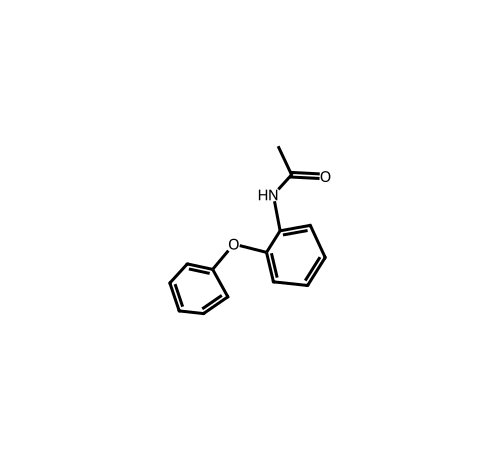 CC(=O)Nc1ccccc1Oc1ccccc1